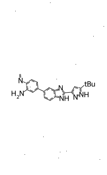 C=Nc1ccc(-c2ccc3[nH]c(-c4cc(C(C)(C)C)[nH]n4)nc3c2)cc1N